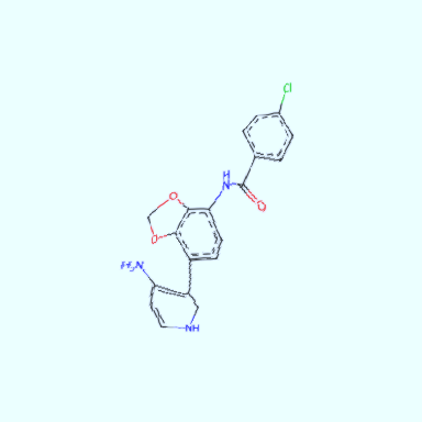 NC1=C(c2ccc(NC(=O)c3ccc(Cl)cc3)c3c2OCO3)CNC=C1